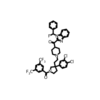 O=C(c1nc2ccccc2n1C(F)c1ccccc1)C1CCN(CCC2(c3ccc(Cl)c(Cl)c3)CCN(C(=O)c3cc(C(F)(F)F)cc(C(F)(F)F)c3)C2)CC1